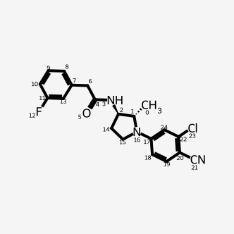 C[C@H]1[C@H](NC(=O)Cc2cccc(F)c2)CCN1c1ccc(C#N)c(Cl)c1